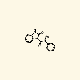 CC(=O)N(C(=O)C1C(=O)Nc2ccccc21)c1ccccc1